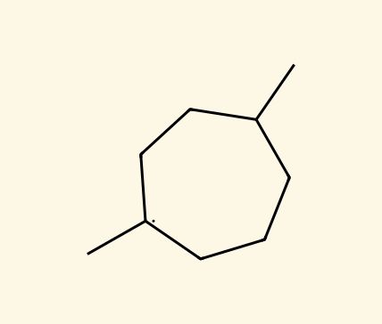 C[C]1CCCC(C)CC1